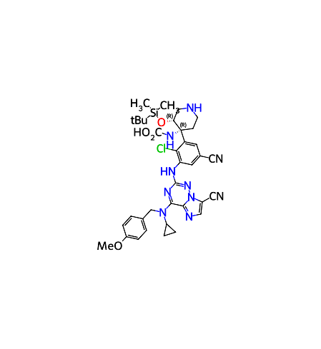 COc1ccc(CN(c2nc(Nc3cc(C#N)cc([C@]4(NC(=O)O)CCNC[C@H]4O[Si](C)(C)C(C)(C)C)c3Cl)nn3c(C#N)cnc23)C2CC2)cc1